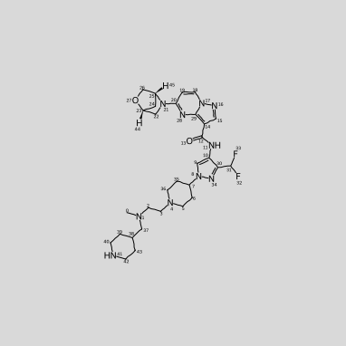 CN(CCN1CCC(n2cc(NC(=O)c3cnn4ccc(N5C[C@H]6C[C@@H]5CO6)nc34)c(C(F)F)n2)CC1)CC1CCNCC1